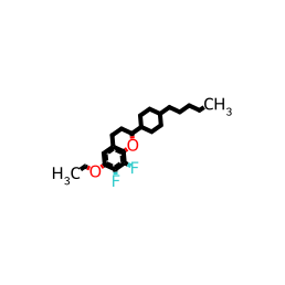 CCCCCC1CCC(C2CCc3cc(OCC)c(F)c(F)c3O2)CC1